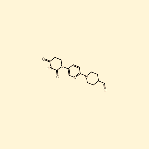 O=CC1CCN(c2ccc(N3CCC(=O)NC3=O)cn2)CC1